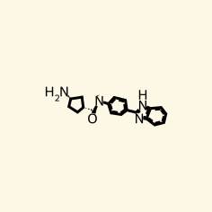 CN(C(=O)[C@@H]1CC[C@H](N)C1)c1ccc(-c2nc3ccccc3[nH]2)cc1